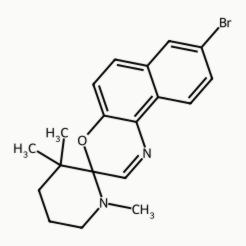 CN1CCCC(C)(C)C12C=Nc1c(ccc3cc(Br)ccc13)O2